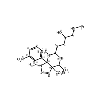 CCOC(=O)N1C(SCC(O)CNC(C)C)NC(C)C2(C(=O)OCC)N=CN(C)C12c1cccc([N+](=O)[O-])c1